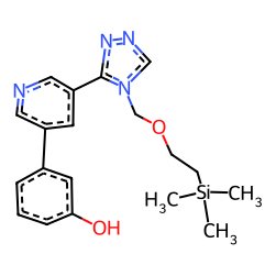 C[Si](C)(C)CCOCn1cnnc1-c1cncc(-c2cccc(O)c2)c1